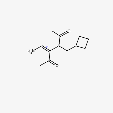 CC(=O)/C(=C\N)N(CC1CCC1)C(C)=O